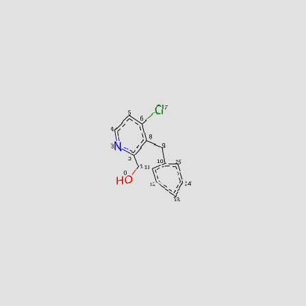 OCc1nccc(Cl)c1Cc1ccccc1